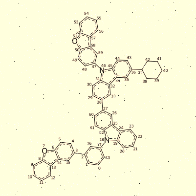 c1cc(-c2ccc3oc4ccccc4c3c2)cc(-n2c3ccccc3c3cc(-c4ccc5c(c4)c4cc(C6CCCCC6)ccc4n5-c4ccc5oc6ccccc6c5c4)ccc32)c1